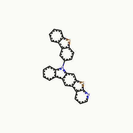 c1ccc2c(c1)sc1ccc(-n3c4ccccc4c4cc5c(cc43)sc3ncccc35)cc12